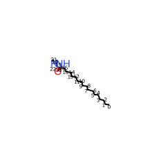 CCCCCCCCCCCCCCCCCC(=O)NN(C)C